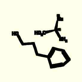 CC[C@H](C)[C@H](N)C(=O)O.OCCCc1ccccc1